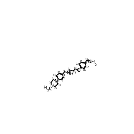 CN1CCN(c2ccc(CNCCCOc3ccc(CN)cc3)cc2)CC1